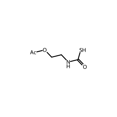 CC(=O)OCCNC(=O)S